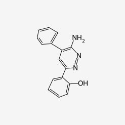 Nc1nnc(-c2ccccc2O)cc1-c1ccccc1